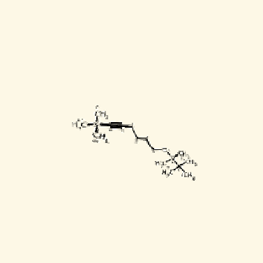 CC(C)(C)[Si](C)(C)OCCCCC#C[Si](C)(C)C